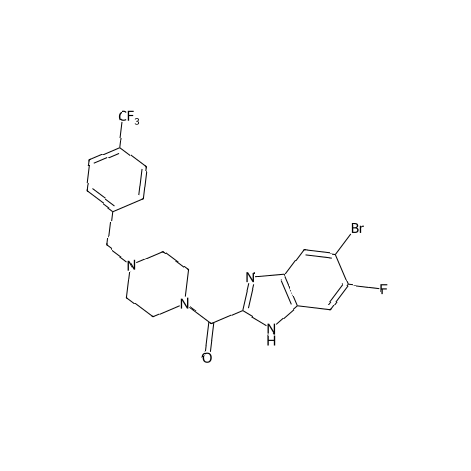 O=C(c1nc2cc(Br)c(F)cc2[nH]1)N1CCN(Cc2ccc(C(F)(F)F)cc2)CC1